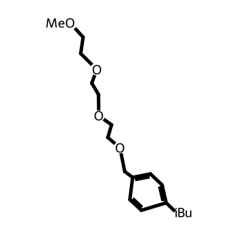 CCC(C)c1ccc(COCCOCCOCCOC)cc1